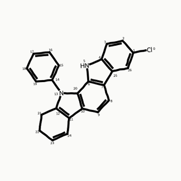 Clc1ccc2[nH]c3c(ccc4c5c(n(-c6ccccc6)c43)CCC=C5)c2c1